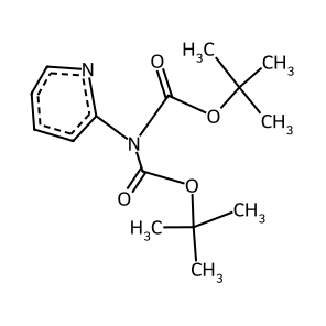 CC(C)(C)OC(=O)N(C(=O)OC(C)(C)C)c1ccccn1